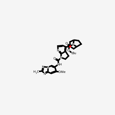 COc1cc2nc(C)nn2cc1NC(=O)N1CCc2c(N3CC4CCC(C3)N4C(=O)OC(C)(C)C)ccnc21